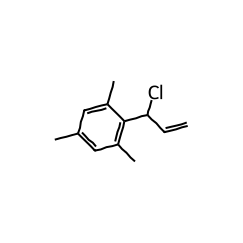 C=CC(Cl)c1c(C)cc(C)cc1C